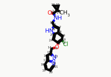 CC1(C(=O)NCc2cc3cc(Cl)c(OCc4cc5ccccn5n4)cc3[nH]2)CC1